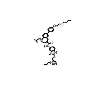 CCCCOCCOc1ccc(-c2ccc3c(c2)C=C(C(=O)Nc2ccc4nc(SCc5cncn5CCC)n(C)c4c2)CCN3CC(C)C)cc1